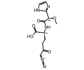 CO[C@@H](C(=O)N[C@@H](CCC(=O)C=[N+]=[N-])C(=O)O)c1ncc[nH]1